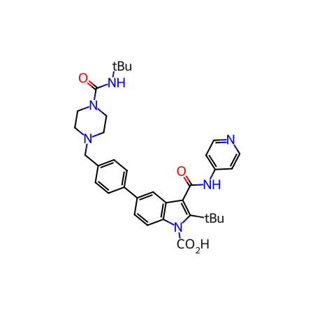 CC(C)(C)NC(=O)N1CCN(Cc2ccc(-c3ccc4c(c3)c(C(=O)Nc3ccncc3)c(C(C)(C)C)n4C(=O)O)cc2)CC1